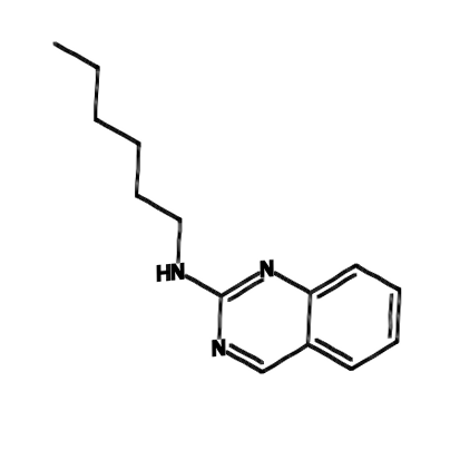 CCCCCCNc1ncc2ccccc2n1